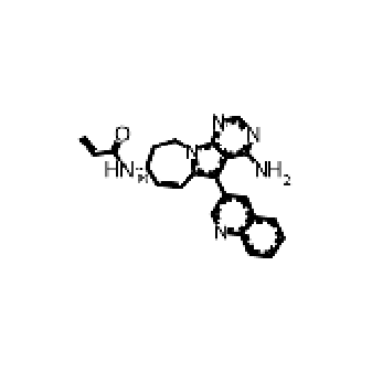 C=CC(=O)N[C@H]1C=Cc2c(-c3cnc4ccccc4c3)c3c(N)ncnc3n2CC1